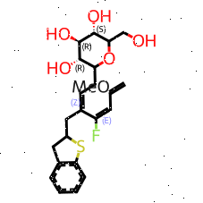 C=C(/C=C(F)\C(=C/CC1OC(CO)[C@@H](O)[C@H](O)[C@H]1O)CC1Cc2ccccc2S1)OC